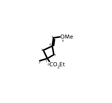 CCOC(=O)C1(C)CC(=COC)C1